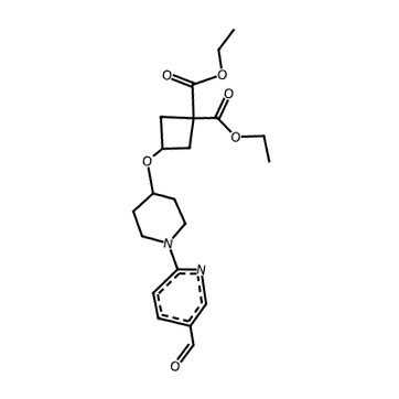 CCOC(=O)C1(C(=O)OCC)CC(OC2CCN(c3ccc(C=O)cn3)CC2)C1